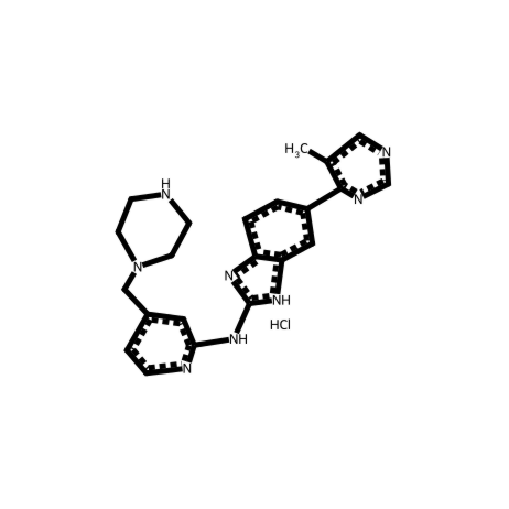 Cc1cncnc1-c1ccc2nc(Nc3cc(CN4CCNCC4)ccn3)[nH]c2c1.Cl